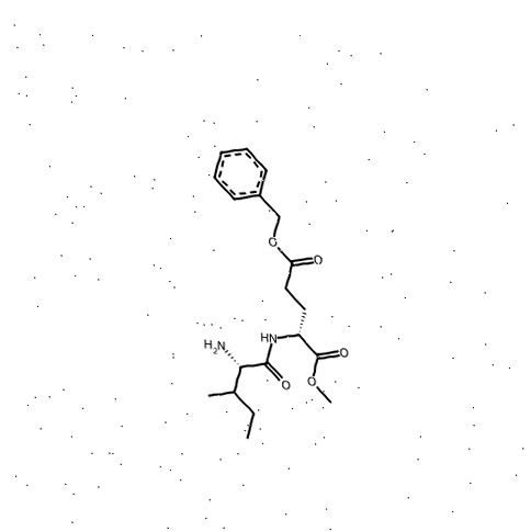 CCC(C)[C@H](N)C(=O)N[C@H](CCC(=O)OCc1ccccc1)C(=O)OC